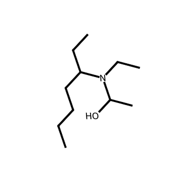 CCCCC(CC)N(CC)C(C)O